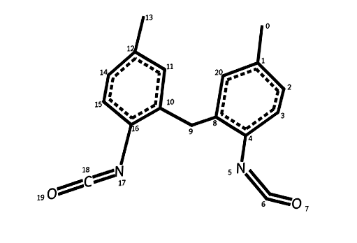 Cc1ccc(N=C=O)c(Cc2cc(C)ccc2N=C=O)c1